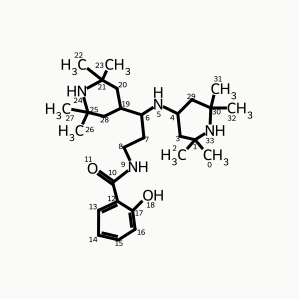 CC1(C)CC(NC(CCNC(=O)c2ccccc2O)C2CC(C)(C)NC(C)(C)C2)CC(C)(C)N1